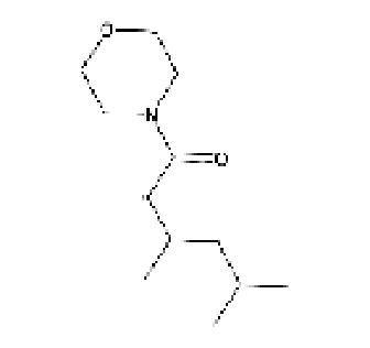 CC(C)CC(C)[CH]C(=O)N1CCOCC1